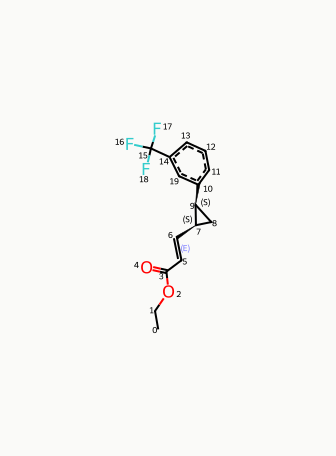 CCOC(=O)/C=C/[C@@H]1C[C@@H]1c1cccc(C(F)(F)F)c1